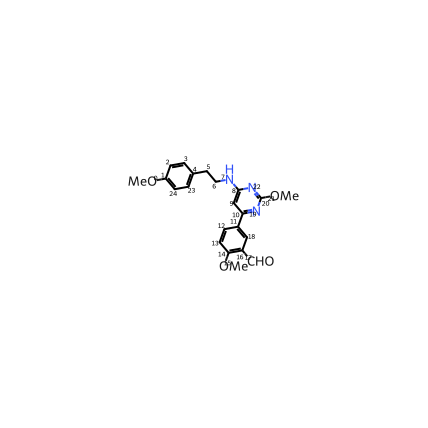 COc1ccc(CCNc2cc(-c3ccc(OC)c(C=O)c3)nc(OC)n2)cc1